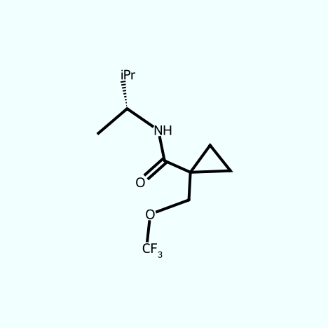 CC(C)[C@@H](C)NC(=O)C1(COC(F)(F)F)CC1